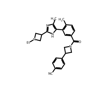 CCN1CC(c2nc(C)c(-c3cc(C(=O)N4CC(c5ccc(C#N)cc5)C4)ccc3C)[nH]2)C1